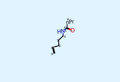 C=CCCCNC(=O)CCC